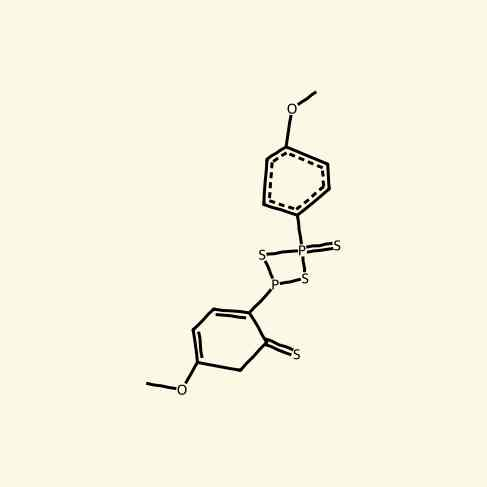 COC1=CC=C(P2SP(=S)(c3ccc(OC)cc3)S2)C(=S)C1